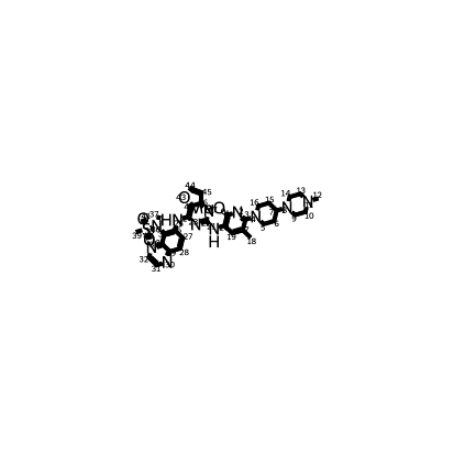 COc1nc(N2CCC(N3CCN(C)CC3)CC2)c(C)cc1Nc1nc(Nc2ccc3nccnc3c2N(C)S(C)(=O)=O)c2occc2n1